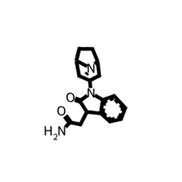 CN1C2CCC1CC(N1C(=O)C(CC(N)=O)c3ccccc31)C2